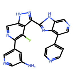 Nc1cncc(-c2ncc3[nH]nc(-c4nc5c(-c6ccncc6)cncc5[nH]4)c3c2F)c1